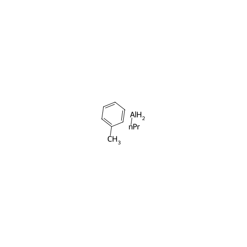 CC[CH2][AlH2].Cc1ccccc1